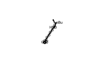 C=CCC[C@@H]1C(COC(=O)NCCOCCOCCOCCOCCC(=O)ON2C(=O)CCC2=O)[C@@H]1CCCC